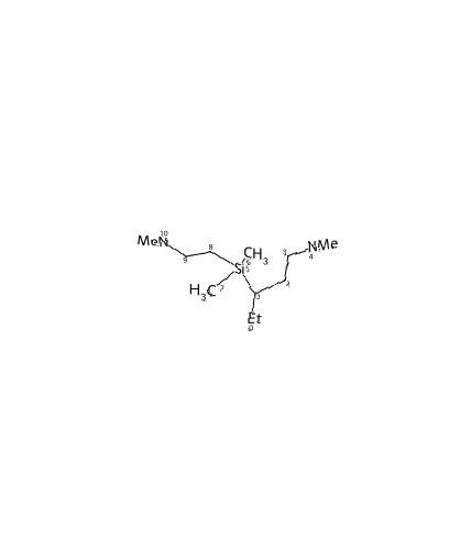 CCC(CCNC)[Si](C)(C)CCNC